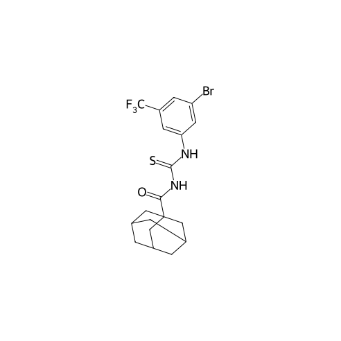 O=C(NC(=S)Nc1cc(Br)cc(C(F)(F)F)c1)C12CC3CC(CC(C3)C1)C2